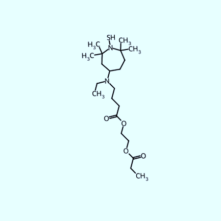 CCC(=O)OCCOC(=O)CCCN(CC)C1CCC(C)(C)N(S)C(C)(C)C1